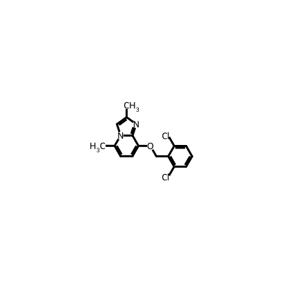 Cc1cn2c(C)ccc(OCc3c(Cl)cccc3Cl)c2n1